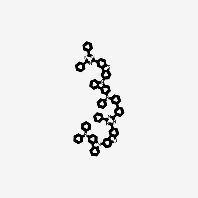 c1ccc(-c2nc(-c3cccc(-c4cccc(N(c5ccccc5)c5ccc6c(c5)c5ccccc5n6-c5ccc6sc7ccc(-c8nc(-c9ccccc9)nc(-c9ccccc9)n8)cc7c6c5)c4)c3)nc(-c3ccc4oc5ccc(-n6c7ccccc7c7cc(N(c8ccccc8)c8ccccc8)ccc76)cc5c4c3)n2)cc1